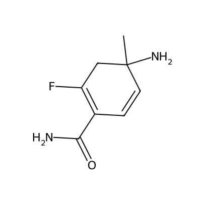 CC1(N)C=CC(C(N)=O)=C(F)C1